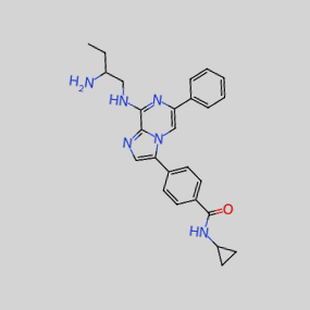 CCC(N)CNc1nc(-c2ccccc2)cn2c(-c3ccc(C(=O)NC4CC4)cc3)cnc12